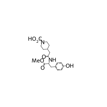 COC(=O)C(Cc1ccc(O)cc1)NC(=O)CC1CCN(C(=O)O)CC1